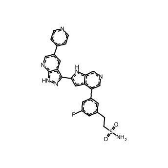 NS(=O)(=O)CCc1cc(F)cc(-c2cncc3[nH]c(-c4n[nH]c5ncc(-c6ccncc6)cc45)cc23)c1